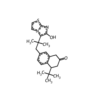 CC(C)(Cc1ccc2c(c1)CC(=O)CC2C(C)(C)C)c1c(O)nc2sccn12